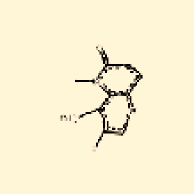 Cn1c(=O)ccc2ncc(F)c(C=O)c21